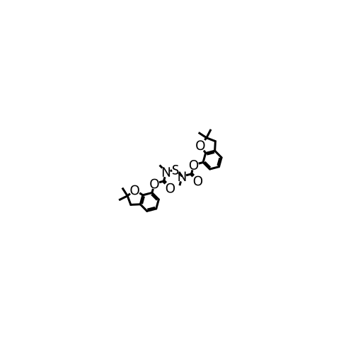 CN(SN(C)C(=O)Oc1cccc2c1OC(C)(C)C2)C(=O)Oc1cccc2c1OC(C)(C)C2